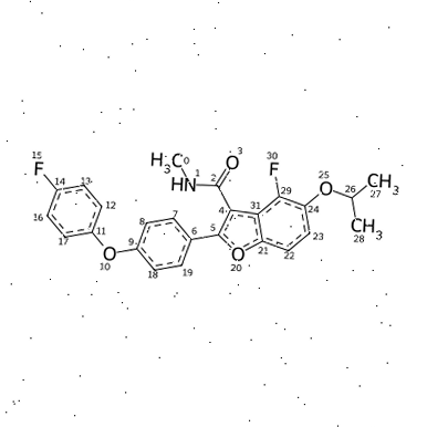 CNC(=O)c1c(-c2ccc(Oc3ccc(F)cc3)cc2)oc2ccc(OC(C)C)c(F)c12